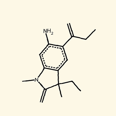 C=C(CC)c1cc2c(cc1N)N(C)C(=C)C2(C)CC